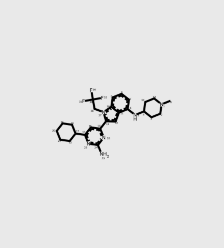 CN1CCC(Nc2cccc3c2cc(-c2cc(C4CCCCC4)nc(N)n2)n3CC(F)(F)F)CC1